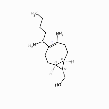 CCCCN(N)/C1=C(\N)CC[C@H]2[C@H](CO)[C@H]2CC1